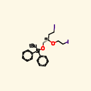 CC(C)(C)[Si](OC[C@H](CCI)OCCI)(c1ccccc1)c1ccccc1